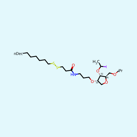 CCCCCCCCCCCCCCCCSSCCC(=O)NCCCO[C@H]1CO[C@H](COC(C)C)[C@H]1OC(C)I